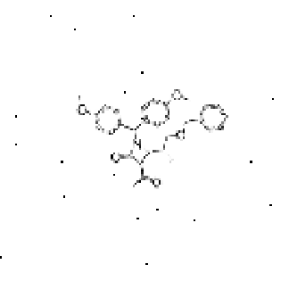 COc1ccc(C(c2ccc(OC)cc2)N2C(=O)[C@H](C(C)=O)[C@H]2[C@@H](C)COCc2ccccc2)cc1